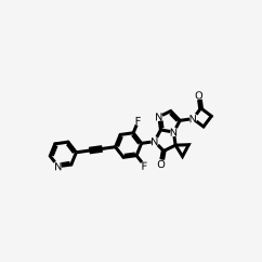 O=C1CCN1c1cnc2n1C1(CC1)C(=O)N2c1c(F)cc(C#Cc2cccnc2)cc1F